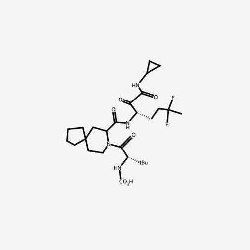 CC(F)(F)CC[C@H](NC(=O)C1CC2(CCCC2)CCN1C(=O)[C@@H](NC(=O)O)C(C)(C)C)C(=O)C(=O)NC1CC1